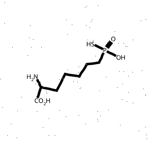 NC(CCCCCP(=O)(O)S)C(=O)O